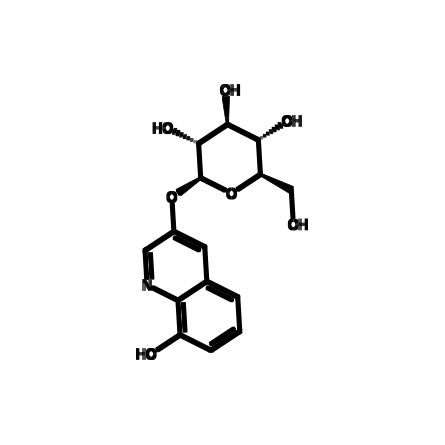 OC[C@H]1O[C@@H](Oc2cnc3c(O)cccc3c2)[C@H](O)[C@@H](O)[C@@H]1O